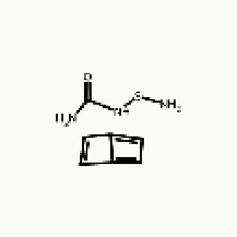 NSNC(N)=O.c1cc2ccc1-2